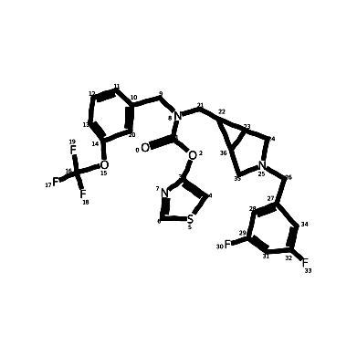 O=C(Oc1cscn1)N(Cc1cccc(OC(F)(F)F)c1)CC1C2CN(Cc3cc(F)cc(F)c3)CC21